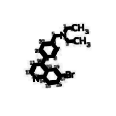 CCN(CC)Cc1ccc(-c2ccnc3ccc(Br)cc23)cc1